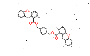 Cc1ccc2c(c1C(=O)OCc1ccc(COC(=O)c3c(C)ccc4c3Cc3ccccc3O4)cc1)Cc1ccccc1O2